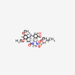 CCCCC(CS(=O)(=O)N1CCN(C(=O)/C=C/c2c(/C=C/c3ccc(O)cc3)cc(OC)cc2OC)CC1)OC